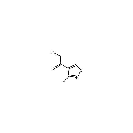 Cc1nocc1C(=O)CBr